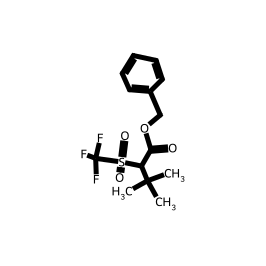 CC(C)(C)C(C(=O)OCc1ccccc1)S(=O)(=O)C(F)(F)F